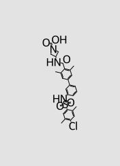 Cc1cc(S(=O)(=O)Nc2cccc(-c3cc(C)c(C(=O)NC4CN(C(=O)O)C4)c(C)c3)c2)c(C)cc1Cl